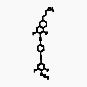 CCCCC1CCc2c(cc(F)c(C#Cc3ccc(C#Cc4cc(F)c(N=C=S)c(F)c4)cc3)c2F)C1